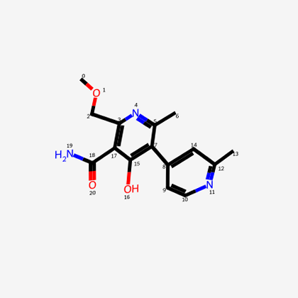 COCc1nc(C)c(-c2ccnc(C)c2)c(O)c1C(N)=O